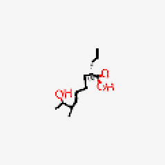 CCC[C@@H](CCCCC(C)C(C)O)C(=O)O